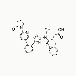 O=C(O)CC(Cc1ccccn1)C(=O)N(c1nc(-c2ccccc2-c2ccc(N3CCCC3=O)nc2)cs1)C1CC1